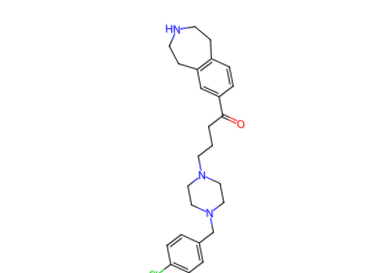 O=C(CCCN1CCN(Cc2ccc(Cl)cc2)CC1)c1ccc2c(c1)CCNCC2